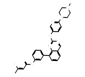 C/C(F)=C/C(=O)Nc1cccc(-c2cccc3cnc(Nc4ccc(N5CCN(C)CC5)nc4)nc23)c1